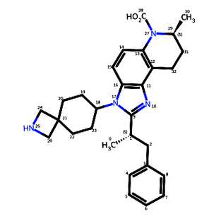 C[C@@H](Cc1ccccc1)c1nc2c3c(ccc2n1C1CCC2(CC1)CNC2)N(C(=O)O)[C@@H](C)CC3